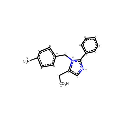 O=C(O)Cc1cnc(-c2ccccc2)n1Cc1ccc([N+](=O)[O-])cc1